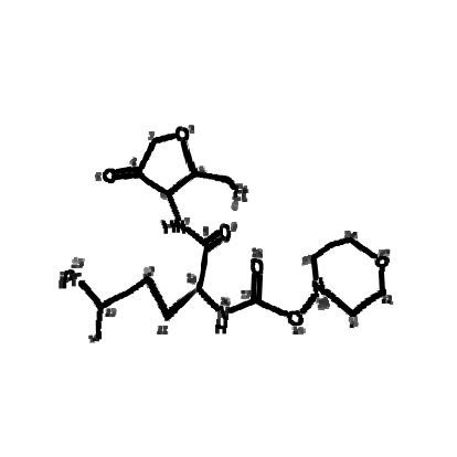 CCC1OCC(=O)C1NC(=O)[C@H](CCC(C)C(C)C)NC(=O)ON1CCOCC1